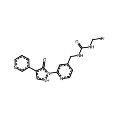 CC(C)CNC(=O)NCc1ccnc(-n2[nH]cc(-c3cccnc3)c2=O)c1